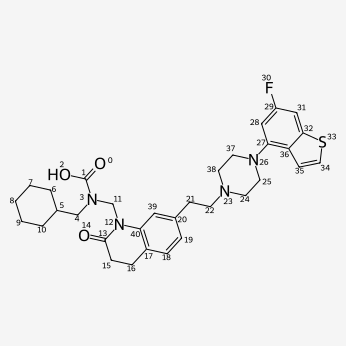 O=C(O)N(CC1CCCCC1)CN1C(=O)CCc2ccc(CCN3CCN(c4cc(F)cc5sccc45)CC3)cc21